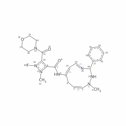 CN1/C=C\C/C(NC(=O)c2c(C(=O)N3CCOCC3)n(F)n2C)=C\C=N\C(c2ccccc2)N1